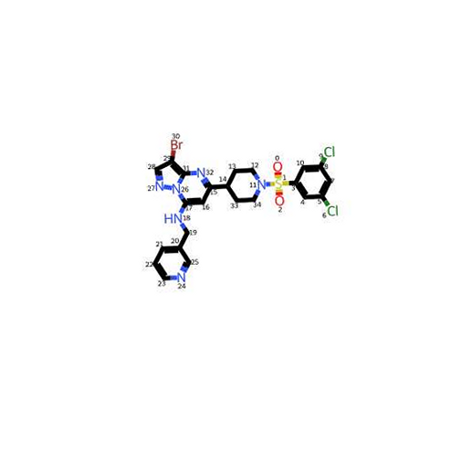 O=S(=O)(c1cc(Cl)cc(Cl)c1)N1CCC(c2cc(NCc3cccnc3)n3ncc(Br)c3n2)CC1